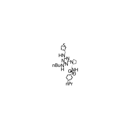 CCCCNc1nc(NCc2ccsc2)nc(N2CCC[C@@H]2CNS(=O)(=O)c2ccc(CCC)cc2)n1